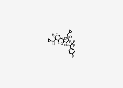 CCC(NC(=O)C(CS(=O)(=O)CC1CC1)N[C@@H](c1ccc(F)cc1)C(F)(F)F)C(=O)C(=O)NC1CC1